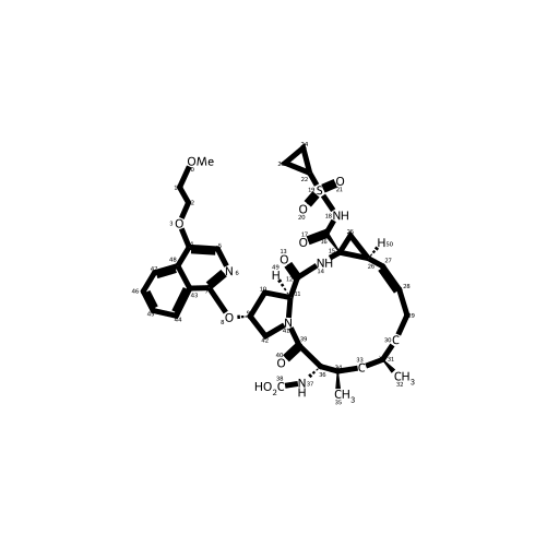 COCCOc1cnc(O[C@@H]2C[C@H]3C(=O)N[C@]4(C(=O)NS(=O)(=O)C5CC5)C[C@H]4/C=C\CC[C@@H](C)C[C@@H](C)[C@H](NC(=O)O)C(=O)N3C2)c2ccccc12